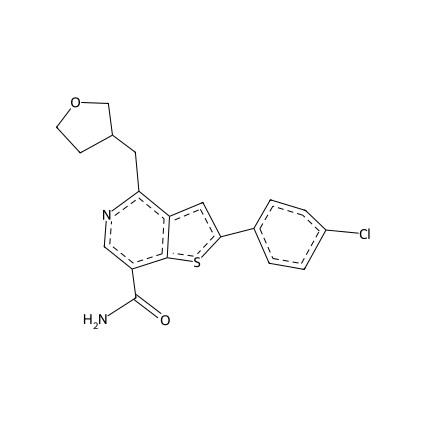 NC(=O)c1cnc(CC2CCOC2)c2cc(-c3ccc(Cl)cc3)sc12